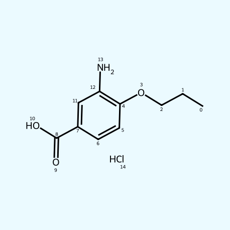 CCCOc1ccc(C(=O)O)cc1N.Cl